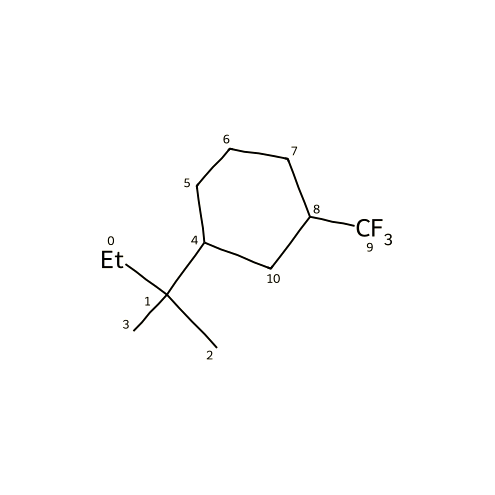 CCC(C)(C)C1CCCC(C(F)(F)F)C1